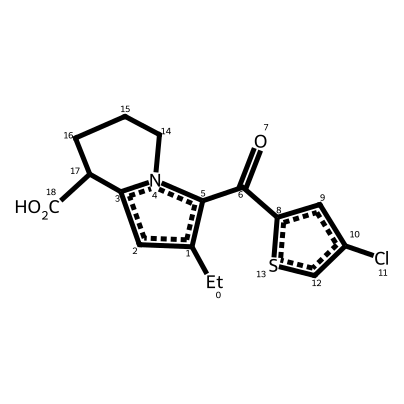 CCc1cc2n(c1C(=O)c1cc(Cl)cs1)CCCC2C(=O)O